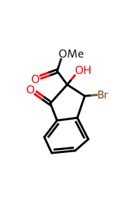 COC(=O)C1(O)C(=O)c2ccccc2C1Br